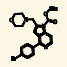 CC(C)(C)OC(=O)n1c(CN2CCOCC2)cc2c(-c3ccc(Br)cc3)nccc21